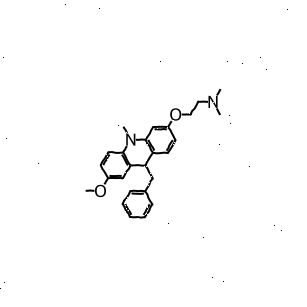 COc1ccc2c(c1)C(Cc1ccccc1)c1ccc(OCCN(C)C)cc1N2C